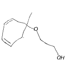 CC1(OCCO)[CH]C=CC=C1